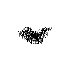 N#[C][Fe-3]([C]#N)([C]#N)([C]#N)([C]#N)[C]#N.N#[C][Fe-3]([C]#N)([C]#N)([C]#N)([C]#N)[C]#N.N#[C][Fe-3]([C]#N)([C]#N)([C]#N)([C]#N)[C]#N.N#[C][Fe-3]([C]#N)([C]#N)([C]#N)([C]#N)[C]#N.[Zr+4].[Zr+4].[Zr+4]